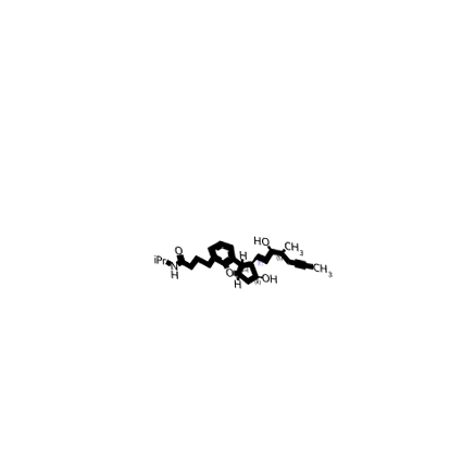 CC#CC[C@H](C)[C@H](O)/C=C/[C@@H]1[C@H]2c3cccc(CCCC(=O)NC(C)C)c3O[C@H]2C[C@H]1O